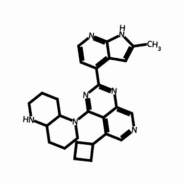 Cc1cc2c(-c3nc(N4CCCC5NCCCC54)c4c(C5CCC5)cncc4n3)ccnc2[nH]1